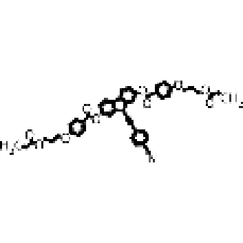 C=CC(=O)OCCCOc1ccc(C(=O)Oc2ccc3c(c2)C(C#Cc2ccc(C#N)cc2)c2cc(OC(=O)c4ccc(OCCCOC(=O)C=C)cc4)ccc2-3)cc1